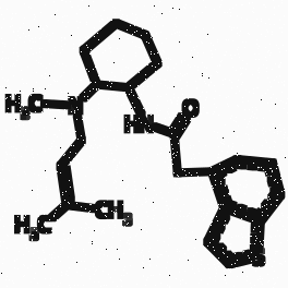 CC(C)=CCN(C)C1CCCCC1NC(=O)Cc1cccc2sccc12